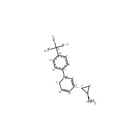 N[C@@H]1C[C@H]1C1=CN(c2ccc(C(F)(F)F)cc2)CC=C1